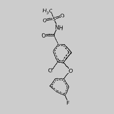 CS(=O)(=O)NC(=O)c1ccc(Oc2cccc(F)c2)c(Cl)c1